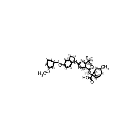 COc1cccc(COc2ccc3c(c2)CCN3c2ncc(C(=O)NC3(C(=O)O)CC4CC(C)CC3C4)c(C(F)(F)F)n2)c1